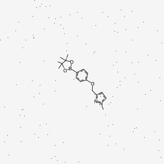 Cn1ccc(COc2ccc(B3OC(C)(C)C(C)(C)O3)cc2)n1